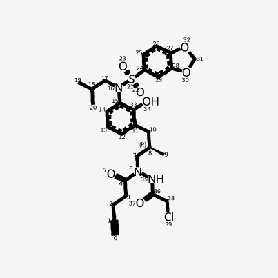 C#CCCC(=O)N(C[C@H](C)Cc1cccc(N(CC(C)C)S(=O)(=O)c2ccc3c(c2)OCO3)c1O)NC(=O)CCl